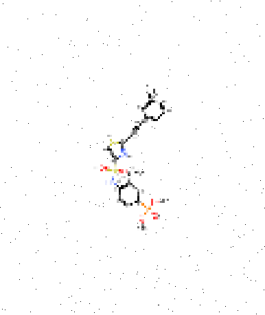 CCOP(=O)(OCC)c1ccc(NS(=O)(=O)c2csc(C#Cc3cccc(C)c3)n2)c(OC)c1